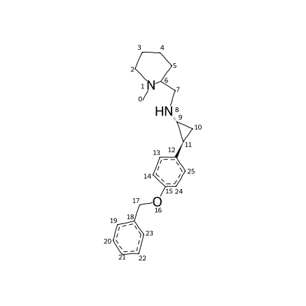 CN1CCCCC1CN[C@@H]1C[C@H]1c1ccc(OCc2ccccc2)cc1